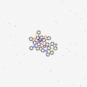 CC1(C)c2ccccc2-c2c(-c3ccc(N(c4ccccc4)c4ccc5c(c4)C4(c6ccccc6Oc6c(N(c7cc(-c8ccccc8)c8c(c7)oc7ccccc78)c7ccc8sc9ccccc9c8c7)cccc64)c4cc(N(c6ccccc6)c6cc(-c7ccc8ccccc8c7)c7oc8ccccc8c7c6)ccc4-5)c4c3sc3ccccc34)cccc21